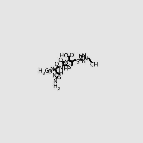 C#CCn1nnc(SCC2=C(C(=O)O)N3C(=O)C(NC(=O)/C(=N/OC)c4csc(N)n4)[C@H]3SC2)n1